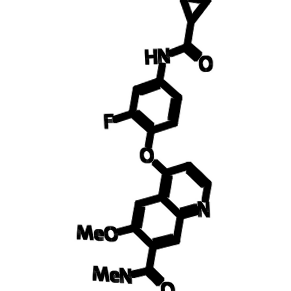 CNC(=O)c1cc2nccc(Oc3ccc(NC(=O)C4CC4)cc3F)c2cc1OC